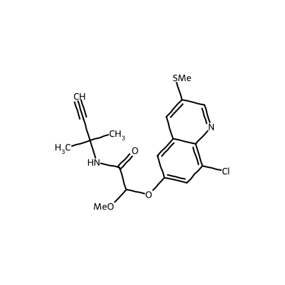 C#CC(C)(C)NC(=O)C(OC)Oc1cc(Cl)c2ncc(SC)cc2c1